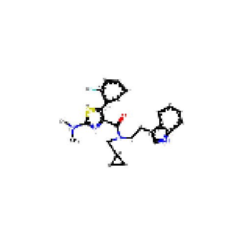 CCN(C)c1nc(C(=O)N(CCc2c[nH]c3ccccc23)CC2CC2)c(-c2ccccc2F)s1